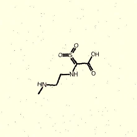 CNCCNC(C(=O)O)=S(=O)=O